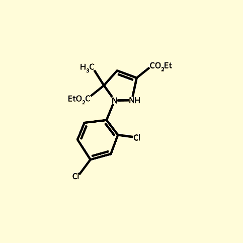 CCOC(=O)C1=CC(C)(C(=O)OCC)N(c2ccc(Cl)cc2Cl)N1